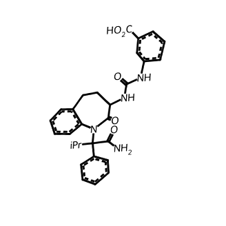 CC(C)C(C(N)=O)(c1ccccc1)N1C(=O)C(NC(=O)Nc2cccc(C(=O)O)c2)CCc2ccccc21